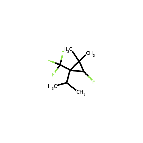 CC(C)C1(C(F)(F)F)C(F)C1(C)C